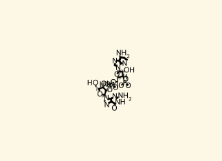 Nc1nc2c(ncn2[C@@H]2O[C@H](CO)[C@@H](O)[C@H]2OP(=O)(O)OC[C@H]2O[C@@H](n3cnc4c(N)ccnc43)[C@H](O)[C@@H]2O[PH](=O)O)c(=O)[nH]1